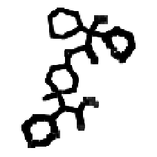 C[N+]1(C(C(N)=O)c2ccncn2)CCC(OC(=O)C(O)(c2ccccc2)C2CCCCC2)CC1